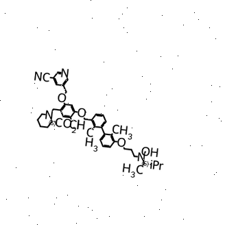 Cc1c(COc2cc(OCc3cncc(C#N)c3)c(CN3CCCC[C@H]3C(=O)O)cc2Cl)cccc1-c1cccc(OCCCN(O)[C@@H](C)C(C)C)c1C